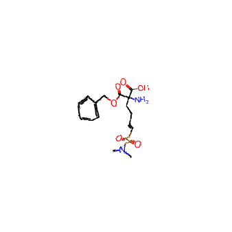 CN(C)S(=O)(=O)/C=C/CCC(N)(C(=O)O)C(=O)OCc1ccccc1